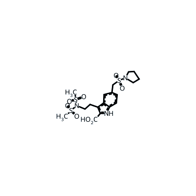 CS(=O)(=O)N(CCc1c(C(=O)O)[nH]c2ccc(CS(=O)(=O)N3CCCC3)cc12)S(C)(=O)=O